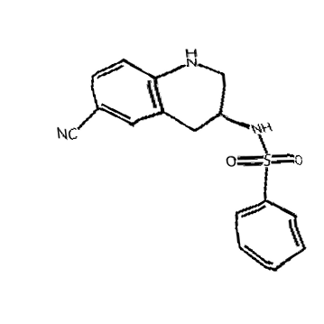 N#Cc1ccc2c(c1)C[C@H](NS(=O)(=O)c1ccccc1)CN2